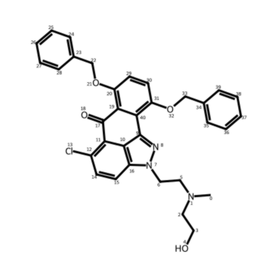 CN(CCO)CCn1nc2c3c(c(Cl)ccc31)C(=O)c1c(OCc3ccccc3)ccc(OCc3ccccc3)c1-2